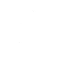 COC(=O)c1cnc(C)cc1-c1cc(Br)c([S+](C)[O-])cc1OC